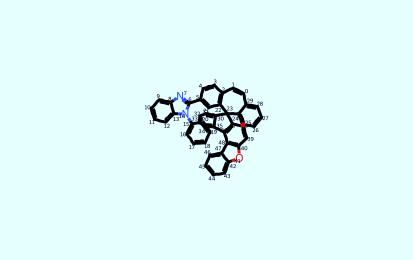 C1=Cc2ccc(-c3nc4ccccc4n3-c3ccccc3)cc2C2(c3ccccc31)c1ccccc1-c1c2ccc2oc3ccccc3c12